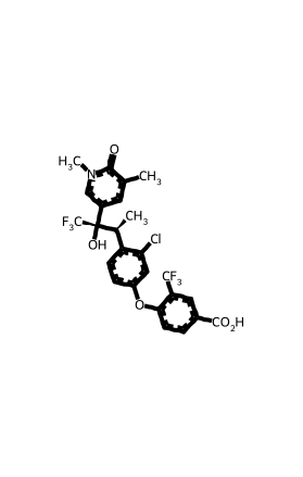 Cc1cc([C@@](O)([C@@H](C)c2ccc(Oc3ccc(C(=O)O)cc3C(F)(F)F)cc2Cl)C(F)(F)F)cn(C)c1=O